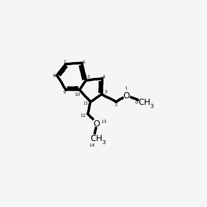 COCC1=Cc2ccccc2C1COC